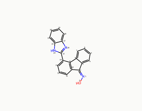 ON=C1c2ccccc2-c2c1cccc2-c1nc2ccccc2[nH]1